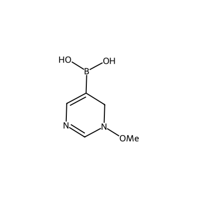 CON1C=NC=C(B(O)O)C1